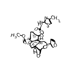 COC(=O)[C@@H]1C[C@H](OC(=O)Nc2nc(C)cs2)C(=O)[C@H]2[C@@]1(C)CC[C@H]1C(=O)O[C@H](c3ccoc3)C[C@]21C